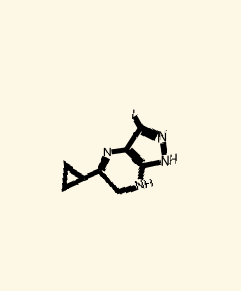 Ic1n[nH]c2c1N=C(C1CC1)CN2